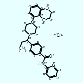 CCC(c1ccc(C(=O)Nc2ccccn2)cc1)N1CCN(c2cccc3c2OCCO3)CC1.Cl